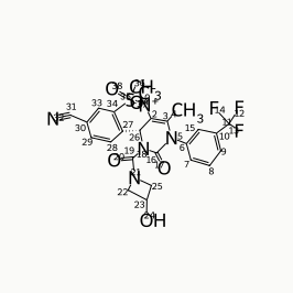 [C-]#[N+]C1=C(C)N(c2cccc(C(F)(F)F)c2)C(=O)N(C(=O)N2CC(O)C2)[C@@H]1c1ccc(C#N)cc1S(C)(=O)=O